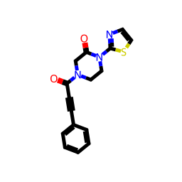 O=C(C#Cc1ccccc1)N1CCN(c2nccs2)C(=O)C1